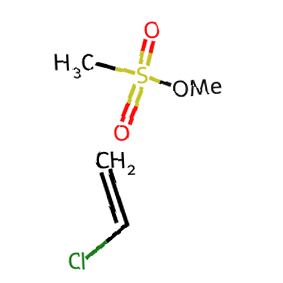 C=CCl.COS(C)(=O)=O